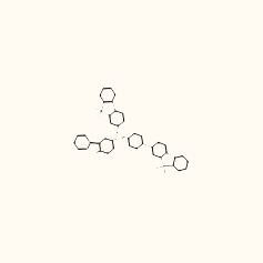 CC1(C)c2ccccc2-c2ccc(-c3ccc(N(c4ccc5c(c4)C(C)(C)c4ccccc4-5)c4ccc5oc6ccccc6c5c4)cc3)cc21